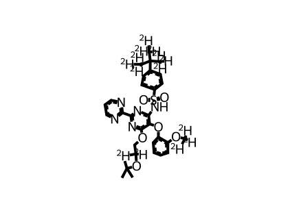 [2H]C([2H])([2H])Oc1ccccc1Oc1c(NS(=O)(=O)c2ccc(C(C([2H])([2H])[2H])(C([2H])([2H])[2H])C([2H])([2H])[2H])cc2)nc(-c2ncccn2)nc1OCC([2H])([2H])OC(C)(C)C